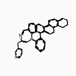 C1=NC(Cc2cccnc2)=CN(c2ccccc2-c2cccc3c2=CCc2c4c(ccc2=3)=CCCC4)c2ccccc21